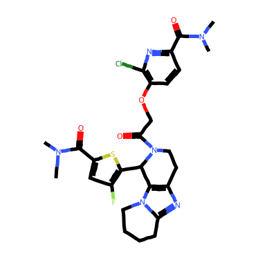 CN(C)C(=O)c1ccc(OCC(=O)N2CCc3nc4n(c3C2c2sc(C(=O)N(C)C)cc2F)CCCC4)c(Cl)n1